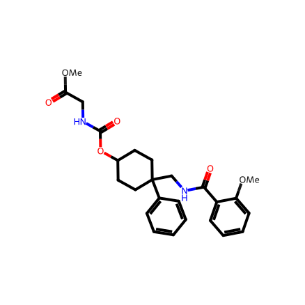 COC(=O)CNC(=O)OC1CCC(CNC(=O)c2ccccc2OC)(c2ccccc2)CC1